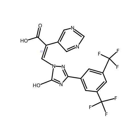 O=C(O)/C(=C/n1nc(-c2cc(C(F)(F)F)cc(C(F)(F)F)c2)nc1O)c1cncnc1